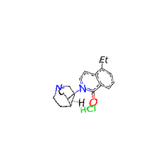 CCc1cccc2c(=O)n([C@@H]3CN4CCC3CC4)ccc12.Cl